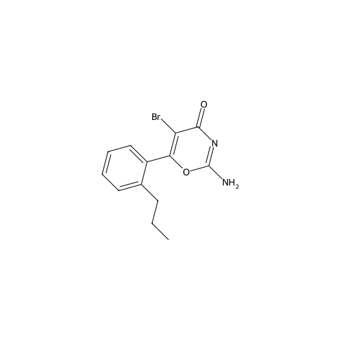 CCCc1ccccc1-c1oc(N)nc(=O)c1Br